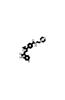 CC1(C)OC(=C2C(=O)Nc3cc(F)ccc32)C=C1c1ccc(C(=O)NCCN2CCOCC2)cc1